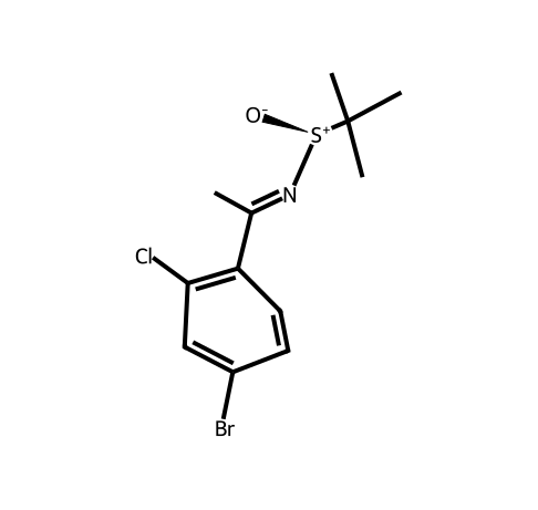 C/C(=N\[S@@+]([O-])C(C)(C)C)c1ccc(Br)cc1Cl